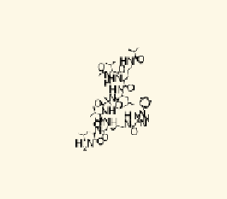 C=C(C)C(=O)NCCC[C@H](NC(=O)[C@@H](NC(C)=O)C(C)C)C(=O)N[C@@H](CC(C)C)C(=O)NC(C)(C)C(=O)N[C@H](C(=O)N[C@@H](CCCNC(=O)c1nnn(-c2ccccc2)n1)C(=O)N[C@@H](CC(C)C)C(N)=O)C(C)C